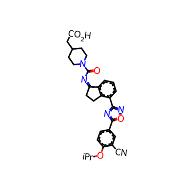 CC(C)Oc1ccc(-c2nc(-c3cccc4c3CC/C4=N/C(=O)N3CCC(CC(=O)O)CC3)no2)cc1C#N